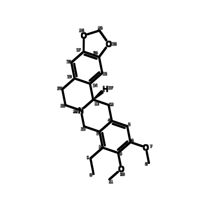 CCc1c2c(cc(OC)c1OC)C[C@H]1c3cc4c(cc3CCN1C2)OCO4